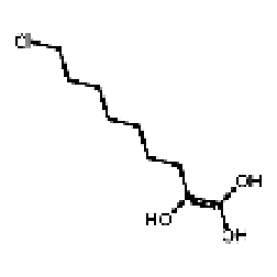 OC(O)=C(O)CCCCCCCCl